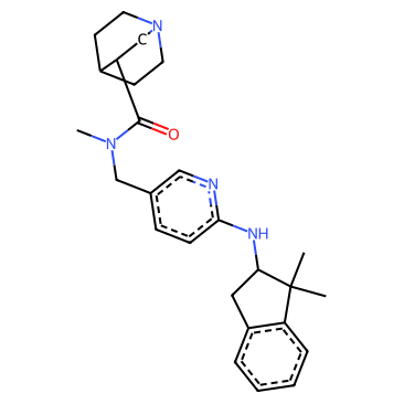 CN(Cc1ccc(NC2Cc3ccccc3C2(C)C)nc1)C(=O)C1CN2CCC1CC2